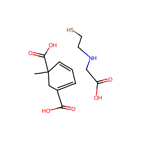 CC1(C(=O)O)C=CC=C(C(=O)O)C1.O=C(O)CNCCS